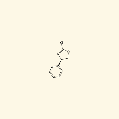 ClC1=N[C@H](c2ccccc2)CO1